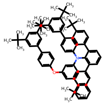 CC(C)(C)c1ccc(-c2cccc(-c3ccc(C(C)(C)C)cc3)c2N(c2ccc(-c3cc(C(C)(C)C)cc(C(C)(C)C)c3)cc2)c2cc(Oc3ccc(-c4cc(C(C)(C)C)cc(C(C)(C)C)c4)cc3)cc(-c3ccccc3)c2)cc1